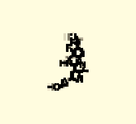 Cc1nnc(N[C@H](C)c2cccc(C(F)(F)CO)c2F)c2cc(N3CC(O)C3)cnc12